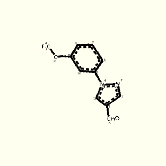 O=Cc1cnn(-c2cccc(OC(F)(F)F)c2)c1